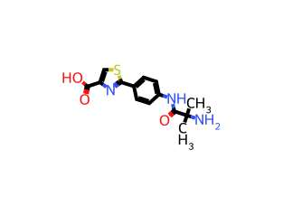 CC(C)(N)C(=O)Nc1ccc(-c2nc(C(=O)O)cs2)cc1